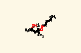 CCCCOOC(C)(C)CC(C)O